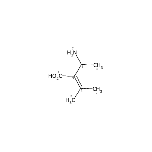 CC(C)=C(C(=O)O)C(C)N